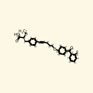 CO[C@@H](Cc1ccc(C#CCCCOc2ccc(C(=O)c3ccccc3F)cc2)cc1)C(=O)O